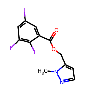 Cn1nccc1COC(=O)c1cc(I)cc(I)c1I